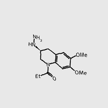 CCC(=O)N1C[C@@H](NN)Cc2cc(OC)c(OC)cc21